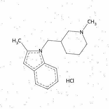 Cc1cc2ccccc2n1CC1CCCN(C)C1.Cl